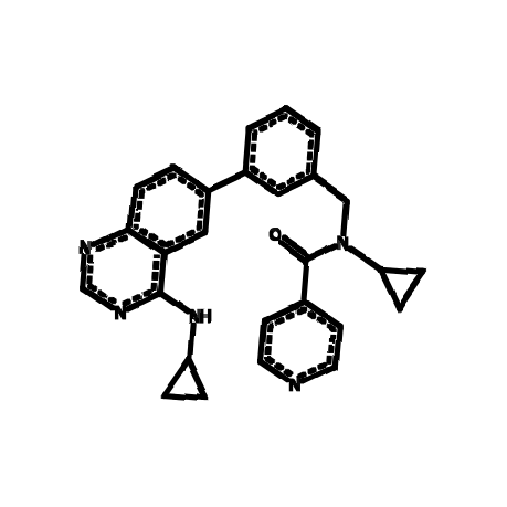 O=C(c1ccncc1)N(Cc1cccc(-c2ccc3ncnc(NC4CC4)c3c2)c1)C1CC1